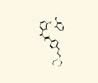 C=Cc1ccccc1NC(C)c1cc(C)cc2c(=O)c(C)c(-c3ccc(CCCN4CCOCC4)cc3)oc12